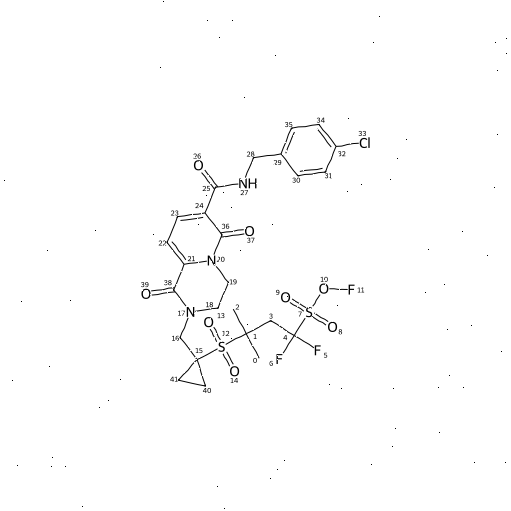 CC(C)(CC(F)(F)S(=O)(=O)OF)S(=O)(=O)C1(CN2CCn3c(ccc(C(=O)NCc4ccc(Cl)cc4)c3=O)C2=O)CC1